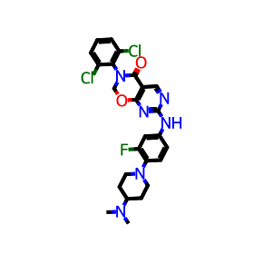 CN(C)C1CCN(c2ccc(Nc3ncc4c(n3)OCN(c3c(Cl)cccc3Cl)C4=O)cc2F)CC1